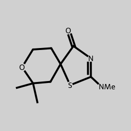 CNC1=NC(=O)C2(CCOC(C)(C)C2)S1